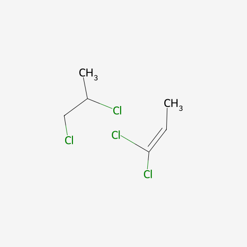 CC(Cl)CCl.CC=C(Cl)Cl